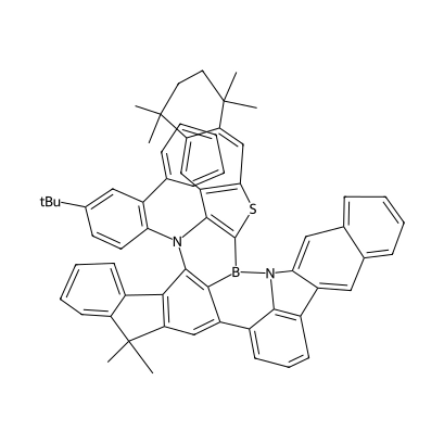 CC(C)(C)c1ccc(N2c3c4c(cc5c3-c3ccccc3C5(C)C)-c3cccc5c6cc7ccccc7cc6n(c35)B4c3sc4cc5c(cc4c32)C(C)(C)CCC5(C)C)c(-c2ccccc2)c1